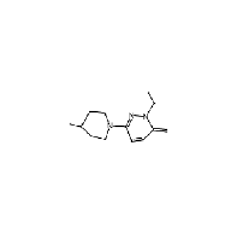 C=C1C=CC(N2CCC(C)CC2)=NN1CC